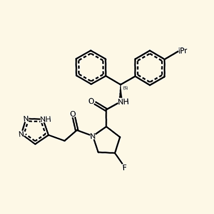 CC(C)c1ccc([C@@H](NC(=O)C2CC(F)CN2C(=O)Cc2cnn[nH]2)c2ccccc2)cc1